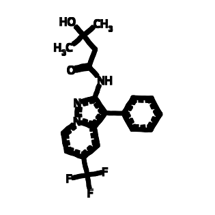 CC(C)(O)CC(=O)Nc1nn2ccc(C(F)(F)F)cc2c1-c1ccccc1